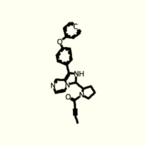 CC#CC(=O)N1CCCC1C1NC(c2ccc(Oc3ccccc3)cc2)=C2C=NC=CN21